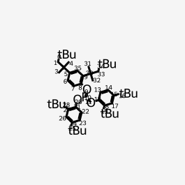 CC(C)(C)CC(C)(C)c1ccc(OP(Oc2ccc(C(C)(C)C)cc2C(C)(C)C)Oc2ccc(C(C)(C)C)cc2C(C)(C)C)c(C(C)(C)CC(C)(C)C)c1